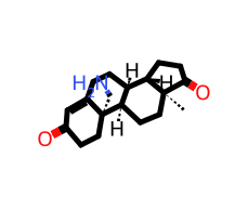 C[C@]12CC[C@@H]3[C@@H](CCC4=CC(=O)CC[C@@]43CN)[C@@H]1CCC2=O